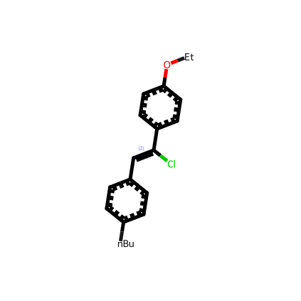 CCCCc1ccc(/C=C(\Cl)c2ccc(OCC)cc2)cc1